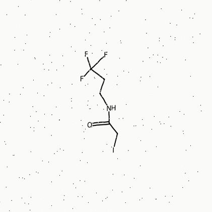 O=C(CI)NCCC(F)(F)F